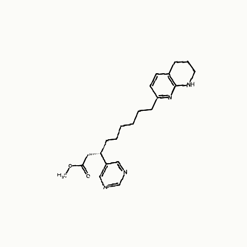 COC(=O)C[C@H](CCCCCCc1ccc2c(n1)NCCC2)c1cncnc1